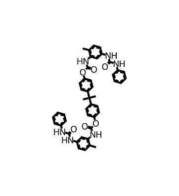 Cc1ccc(NC(=O)Nc2ccccc2)cc1NC(=O)Oc1ccc(C(C)(C)c2ccc(OC(=O)Nc3cc(NC(=O)Nc4ccccc4)ccc3C)cc2)cc1